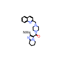 CNc1nc2n(c1C(=O)N1CCN(Cc3ccc4ccccc4n3)CC1)CCCC2